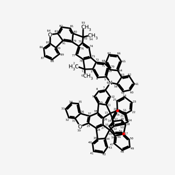 CC1(C)c2cc(N(c3ccc4c(c3)C(c3ccccc3)(c3ccccc3)c3c5c(c6oc7ccccc7c6c3-4)-c3ccccc3C5(c3ccccc3)c3ccccc3)c3ccccc3-c3ccccc3)ccc2-c2cc3c(cc21)-c1c(ccc2oc4ccccc4c12)C3(C)C